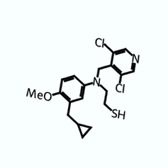 COc1ccc(N(CCS)Cc2c(Cl)cncc2Cl)cc1CC1CC1